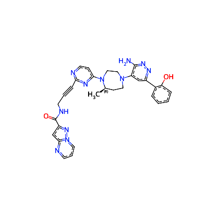 C[C@@H]1CCN(c2cc(-c3ccccc3O)nnc2N)CCN1c1ccnc(C#CCNC(=O)c2cc3ncccn3n2)n1